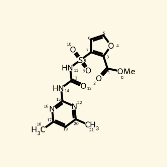 COC(=O)c1occc1S(=O)(=O)NC(=O)Nc1nc(C)cc(C)n1